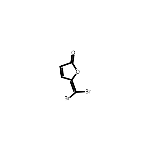 O=C1C=CC(=C(Br)Br)O1